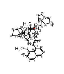 CCc1c(F)ccc2cccc(-c3ncc4c(N5CC6CCC(C5)N6C(=O)OC(C)(C)C)nc(OC[C@@]56CCCN5C[C@H](F)C6)nc4c3F)c12